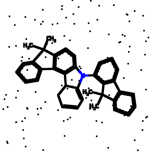 CC1(C)c2ccccc2-c2c1ccc1c2C2CC=CC=C2N1c1cccc2c1C(C)(C)c1ccccc1-2